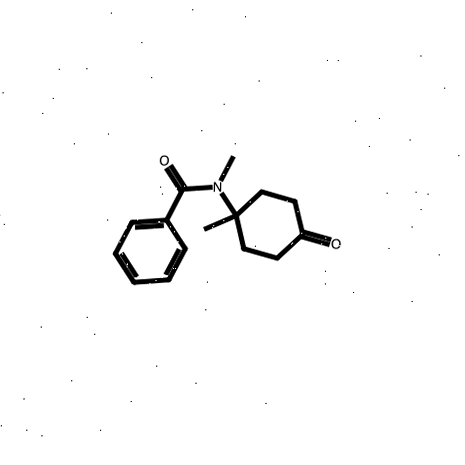 CN(C(=O)c1ccccc1)C1(C)CCC(=O)CC1